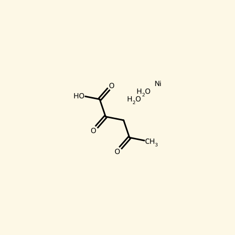 CC(=O)CC(=O)C(=O)O.O.O.[Ni]